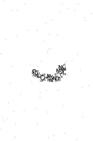 Cc1nc2nc(C)c(C[C@@H]3CCN(c4cnc(-c5ccc(CN6CCOCC6)cc5)cn4)C3)c(C)n2n1